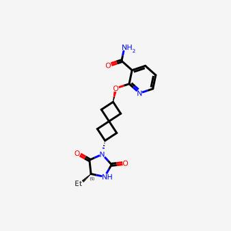 CC[C@@H]1NC(=O)N([C@H]2CC3(C[C@H](Oc4ncccc4C(N)=O)C3)C2)C1=O